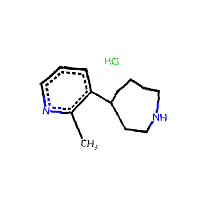 Cc1ncccc1C1CCNCC1.Cl